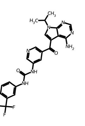 CC(C)n1cc(C(=O)c2cncc(NC(=O)Nc3cccc(C(F)(F)F)c3)c2)c2c(N)ncnc21